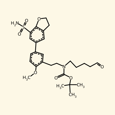 COc1ccc(-c2cc3c(c(S(N)(=O)=O)c2)OCC3)cc1CCN(CCCCC=O)C(=O)OC(C)(C)C